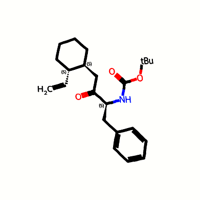 C=C[C@@H]1CCCC[C@H]1CC(=O)[C@H](Cc1ccccc1)NC(=O)OC(C)(C)C